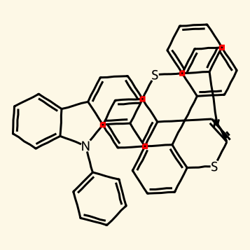 c1ccc(-c2cccc3c2C2(c4ccccc4Sc4ccccc42)c2c(cccc2-c2cccc4c5ccccc5n(-c5ccccc5)c24)S3)cc1